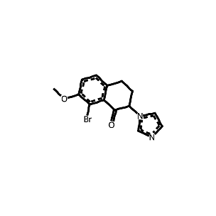 COc1ccc2c(c1Br)C(=O)C(n1ccnc1)CC2